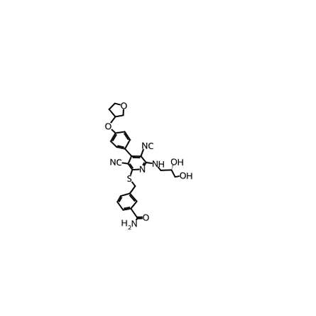 [C-]#[N+]c1c(NC[C@H](O)CO)nc(SCc2cccc(C(N)=O)c2)c(C#N)c1-c1ccc(OC2CCOC2)cc1